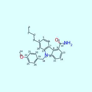 CCCCc1c[c]c2c3c(C(N)=O)cccc3n(Cc3ccc(OC)cc3)c2c1